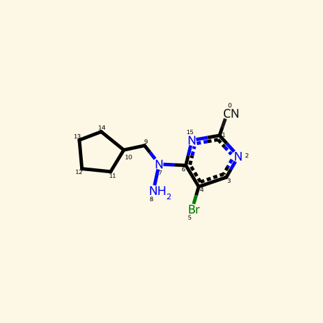 N#Cc1ncc(Br)c(N(N)CC2CCCC2)n1